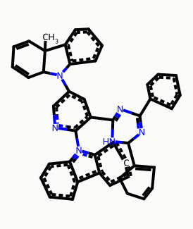 CC12C=CC=CC1N(c1cnc(-n3c4ccccc4c4ccccc43)c(C3=NC(c4ccccc4)=NC(C4=CC=CCC4)N3)c1)c1ccccc12